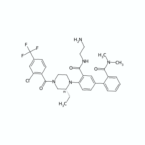 CC[C@@H]1CN(C(=O)c2ccc(C(F)(F)F)cc2Cl)CCN1c1ccc(-c2ccccc2C(=O)N(C)C)cc1C(=O)NCCN